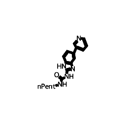 CCCCCNC(=O)Nc1nc2cc(-c3cccnc3)ccc2[nH]1